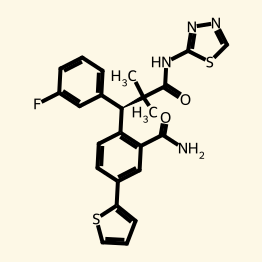 CC(C)(C(=O)Nc1nncs1)[C@H](c1cccc(F)c1)c1ccc(-c2cccs2)cc1C(N)=O